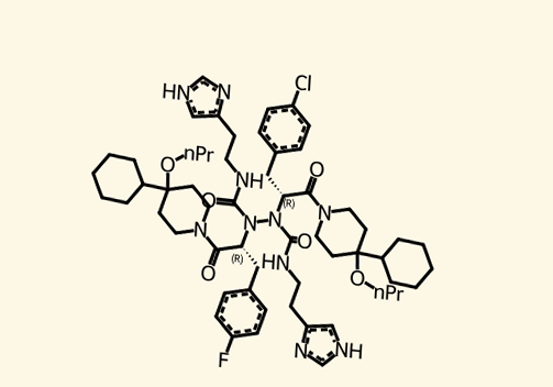 CCCOC1(C2CCCCC2)CCN(C(=O)[C@@H](Cc2ccc(F)cc2)N(C(=O)NCCc2c[nH]cn2)N(C(=O)NCCc2c[nH]cn2)[C@H](Cc2ccc(Cl)cc2)C(=O)N2CCC(OCCC)(C3CCCCC3)CC2)CC1